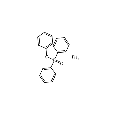 O=P(Oc1ccccc1)(c1ccccc1)c1ccccc1.P